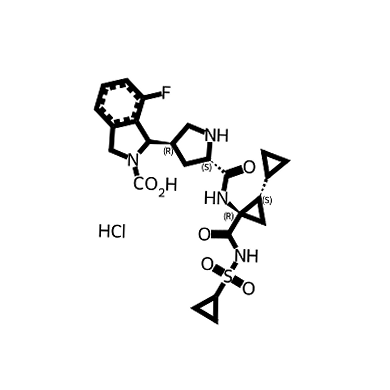 Cl.O=C(N[C@]1(C(=O)NS(=O)(=O)C2CC2)C[C@H]1C1CC1)[C@@H]1C[C@@H](C2c3c(F)cccc3CN2C(=O)O)CN1